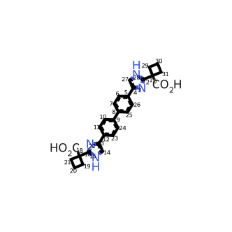 O=C(O)C1(c2nc(-c3ccc(-c4ccc(-c5c[nH]c(C6(C(=O)O)CCC6)n5)cc4)cc3)c[nH]2)CCC1